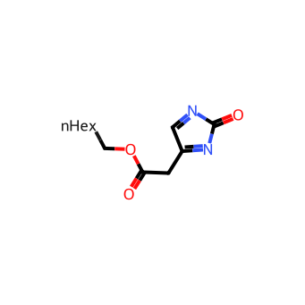 CCCCCCCOC(=O)CC1=NC(=O)N=C1